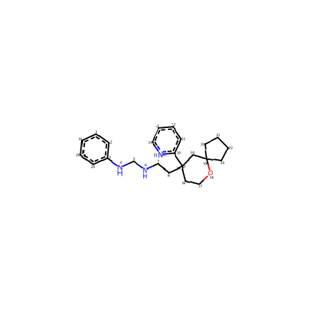 c1ccc(NCNCCC2(c3ccccn3)CCOC3(CCCC3)C2)cc1